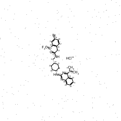 CN(C)c1nc(N[C@H]2CC[C@@H](CNC(=O)Cc3ccc(Br)cc3OC(F)(F)F)CC2)nc2ccccc12.Cl